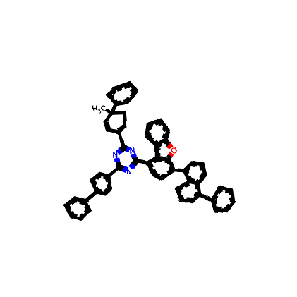 CC1(c2ccccc2)C=CC(c2nc(-c3ccc(-c4ccccc4)cc3)nc(-c3ccc(-c4cccc5c(-c6ccccc6)cccc45)c4oc5ccccc5c34)n2)=CC1